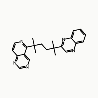 CC(C)(CCC(C)(C)c1nccc2ncncc12)c1cnc2ccccc2n1